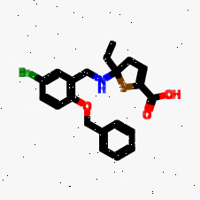 CCC1(NCc2cc(Br)ccc2OCc2ccccc2)CC=C(C(=O)O)S1